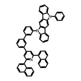 c1ccc(-n2c3ccccc3c3cc4c(cc32)c2ccccc2n4-c2cccc(-c3cccc(-c4cc(-c5cccc6ccccc56)nc(-c5cccc6ccccc56)c4)c3)c2)cc1